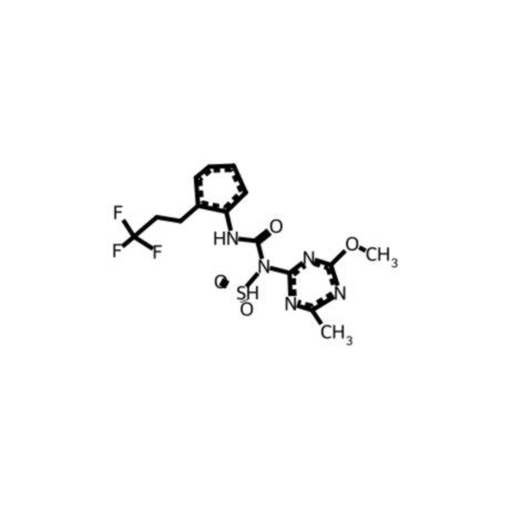 COc1nc(C)nc(N(C(=O)Nc2ccccc2CCC(F)(F)F)[SH](=O)=O)n1